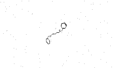 C(C=CSCc1ccccc1)=CSCc1ccccc1